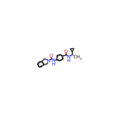 C[C@H](NC(=O)c1ccc(NC(=O)N2Cc3ccccc3C2)cc1)C1CC1